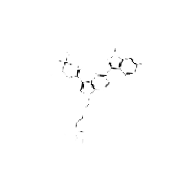 C[C@H](NC(=O)c1cn(COCC[Si](C)(C)C)c2ncc(-c3nn(C)c4cc(Cl)ccc34)nc12)C(C)(C)N